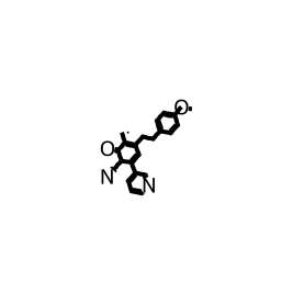 [CH2]C1=C(CCc2ccc(OC)cc2)C=C(c2cccnc2)C(C#N)C1=O